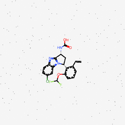 C=Cc1cccc(OC(F)F)c1[C@H]1C[C@@H](NC(=O)O)c2nc3ccc(Cl)cc3n21